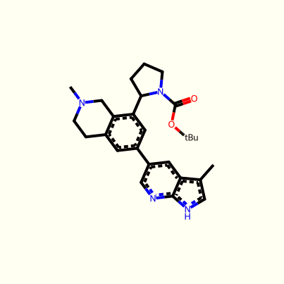 Cc1c[nH]c2ncc(-c3cc4c(c(C5CCCN5C(=O)OC(C)(C)C)c3)CN(C)CC4)cc12